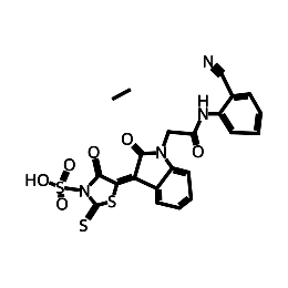 CC.N#Cc1ccccc1NC(=O)CN1C(=O)C(=C2SC(=S)N(S(=O)(=O)O)C2=O)c2ccccc21